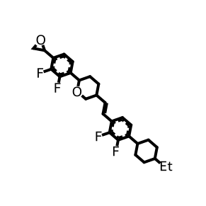 CCC1CCC(c2ccc(/C=C/C3CCC(c4ccc(C5CO5)c(F)c4F)OC3)c(F)c2F)CC1